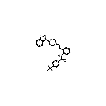 CC(C)(C)c1ccc(C(=O)Nc2ccccc2CCN2CCN(c3nsc4ccccc34)CC2)cc1